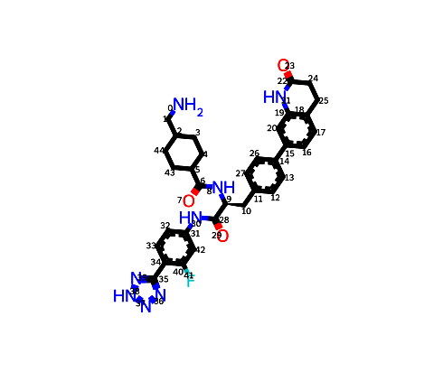 NCC1CCC(C(=O)N[C@@H](Cc2ccc(-c3ccc4c(c3)NC(=O)CC4)cc2)C(=O)Nc2ccc(-c3nn[nH]n3)c(F)c2)CC1